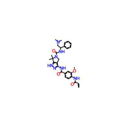 C=CC(=O)Nc1ccc(C(=O)Nc2n[nH]c3c2CN(C(=O)NC(CN(C)C)c2ccccc2)C3(C)C)cc1OC